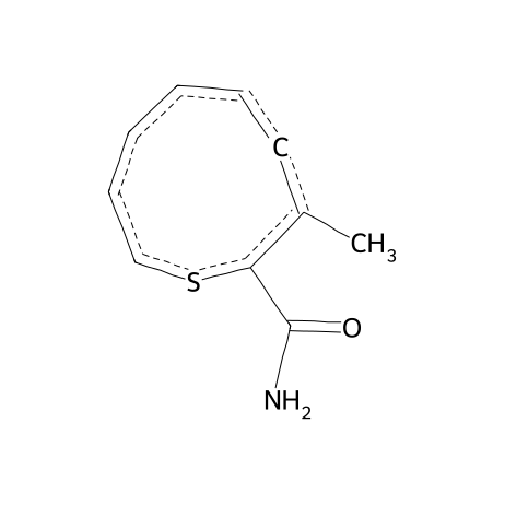 Cc1ccccccsc1C(N)=O